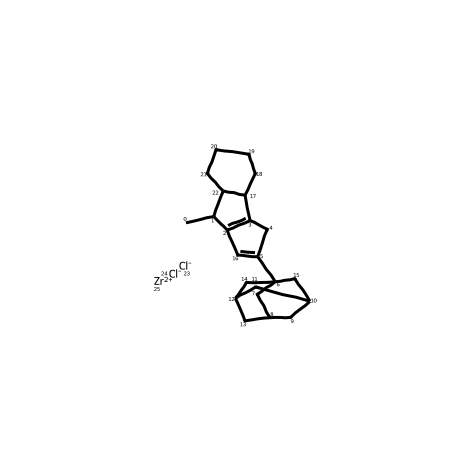 CC1C2=C(CC(C34CC5CC(CC(C5)C3)C4)=C2)C2CCCCC12.[Cl-].[Cl-].[Zr+2]